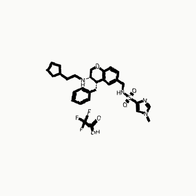 Cn1cnc(S(=O)(=O)NCc2ccc3c(c2)[C@H](Cc2ccccc2)[C@H](NCCC2CCCC2)CO3)c1.O=C(O)C(F)(F)F